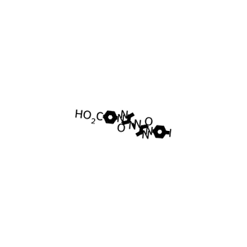 CC1=NN(c2ccc(I)cc2)C(=O)C1/N=N/C1C(=O)N(c2ccc(C(=O)O)cc2)N=C1C